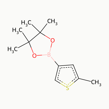 Cc1cc(B2OC(C)(C)C(C)(C)O2)cs1